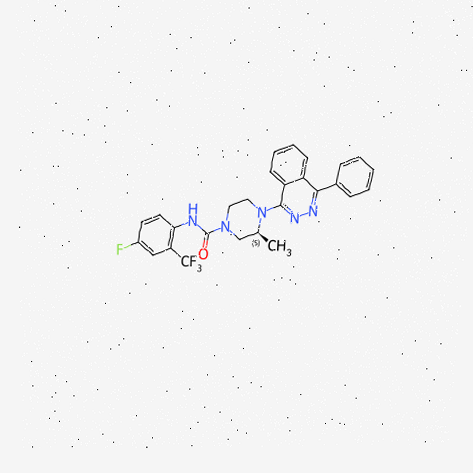 C[C@H]1CN(C(=O)Nc2ccc(F)cc2C(F)(F)F)CCN1c1nnc(-c2ccccc2)c2ccccc12